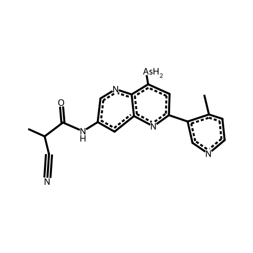 Cc1ccncc1-c1cc([AsH2])c2ncc(NC(=O)C(C)C#N)cc2n1